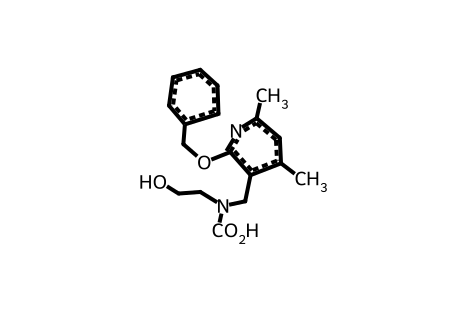 Cc1cc(C)c(CN(CCO)C(=O)O)c(OCc2ccccc2)n1